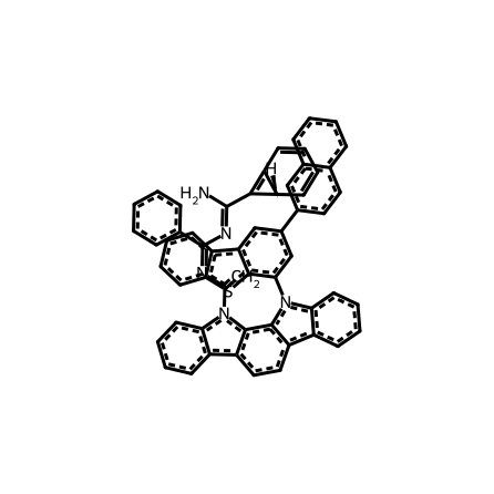 C=C(/N=C(\N=C(/N)C1=C2C=CC=C[C@@H]21)c1ccccc1)n1c2ccccc2c2ccc3c4ccccc4n(-c4cc(-c5ccc6ccccc6c5)cc5c4sc4ccccc45)c3c21